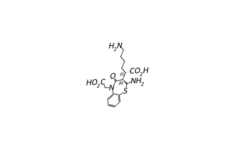 NCCCC[C@H](C(=O)O)[C@@H]1C(=O)N(CC(=O)O)c2ccccc2SC1N